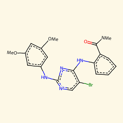 CNC(=O)c1ccccc1Nc1nc(Nc2cc(OC)cc(OC)c2)ncc1Br